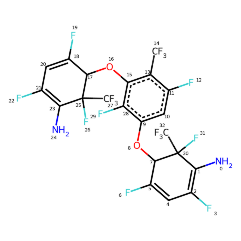 NC1=C(F)C=C(F)C(Oc2cc(F)c(C(F)(F)F)c(OC3C(F)=CC(F)=C(N)C3(F)C(F)(F)F)c2F)C1(F)C(F)(F)F